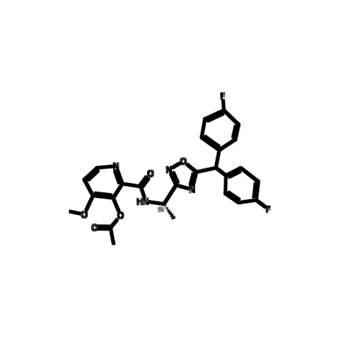 COc1ccnc(C(=O)N[C@@H](C)c2noc(C(c3ccc(F)cc3)c3ccc(F)cc3)n2)c1OC(C)=O